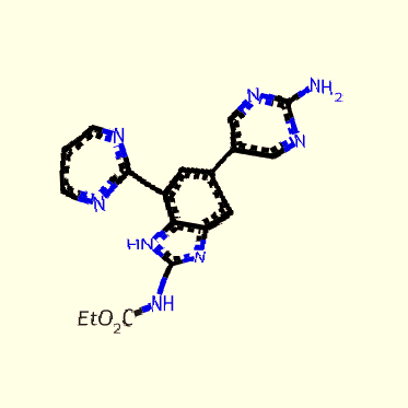 CCOC(=O)Nc1nc2cc(-c3cnc(N)nc3)cc(-c3ncccn3)c2[nH]1